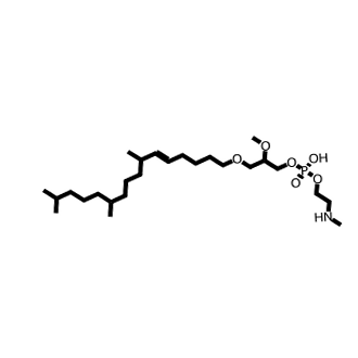 CNCCOP(=O)(O)OCC(COCCCCC=CC(C)CCCC(C)CCCC(C)C)OC